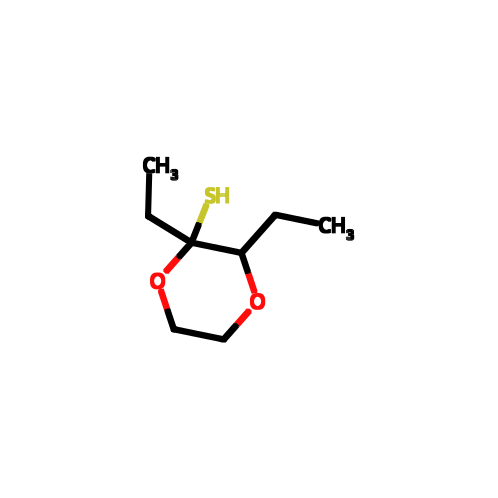 CCC1OCCOC1(S)CC